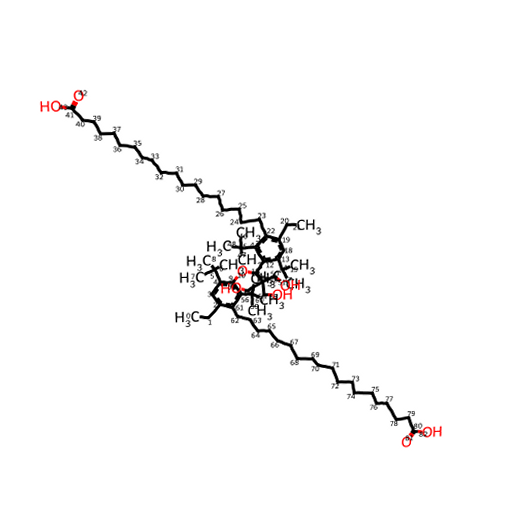 CCc1cc(C(C)(C)C)c(OC(c2c(C(C)(C)C)cc(CC)c(CCCCCCCCCCCCCCCCCCC(=O)O)c2C(C)(C)C)C(CO)(CO)CO)c(C(C)(C)C)c1CCCCCCCCCCCCCCCCCCC(=O)O